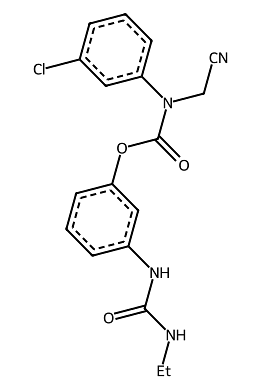 CCNC(=O)Nc1cccc(OC(=O)N(CC#N)c2cccc(Cl)c2)c1